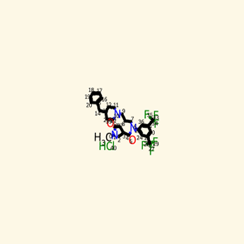 CN1CC(C(=O)N(CCCN2CCC(Cc3ccccc3)CC2)c2cc(C(F)(F)F)cc(C(F)(F)F)c2)CC1=O.Cl